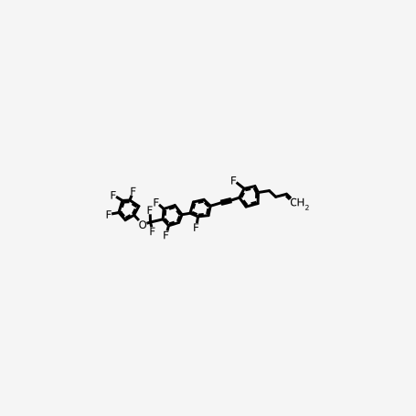 C=CCCc1ccc(C#Cc2ccc(-c3cc(F)c(C(F)(F)Oc4cc(F)c(F)c(F)c4)c(F)c3)c(F)c2)c(F)c1